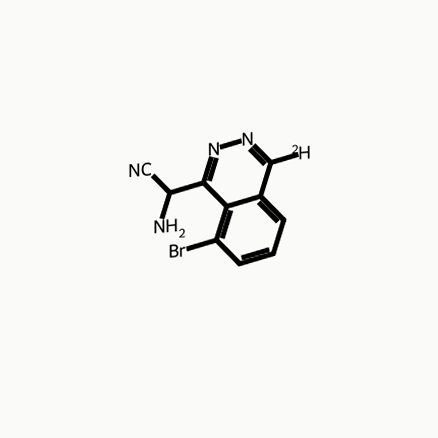 [2H]c1nnc(C(N)C#N)c2c(Br)cccc12